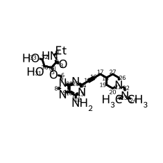 CCNC(=O)[C@@H](OCn1cnc2c(N)nc(C#CCC3CCN(CN(C)C)CC3)nc21)C(O)CO